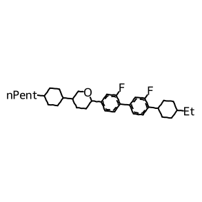 CCCCCC1CCC(C2CCC(c3ccc(-c4ccc(C5CCC(CC)CC5)c(F)c4)c(F)c3)OC2)CC1